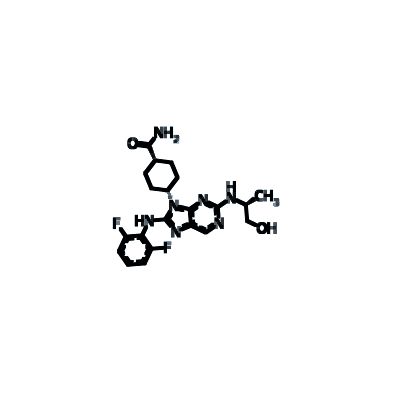 C[C@@H](CO)Nc1ncc2nc(Nc3c(F)cccc3F)n([C@H]3CC[C@H](C(N)=O)CC3)c2n1